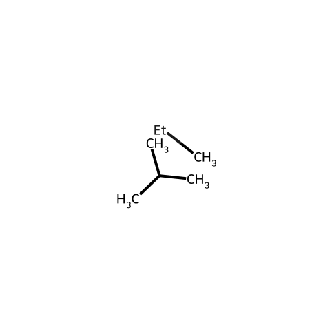 CC(C)C.CCC